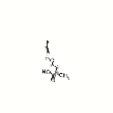 CN(CCOCC#CI)C(=O)O